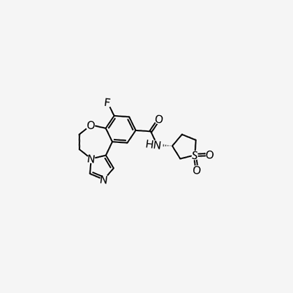 O=C(N[C@@H]1CCS(=O)(=O)C1)c1cc(F)c2c(c1)-c1cncn1CCO2